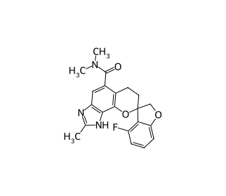 Cc1nc2cc(C(=O)N(C)C)c3c(c2[nH]1)OC1(CC3)COc2cccc(F)c21